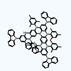 Cc1cc(C)c(N2c3cc4c(cc3B3c5sc6ccccc6c5Oc5cc(-n6c7ccccc7c7ccccc76)cc2c53)B2c3cc5c(cc3N(c3c(C)cc(C)cc3C)c3cc(-n6c7ccccc7c7ccccc76)cc(c32)N4c2c(C)cc(C)cc2C)Nc2cc(-n3c4ccccc4c4ccccc43)cc3c2B5c2sc4ccccc4c2O3)c(C)c1